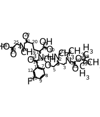 CCN(C[C@@H](COc1ccc(F)cc1C(=O)N(C)C(CCC(=O)N(C)CC(=O)O)C(=O)O)NC)C(=O)OC(C)(C)C